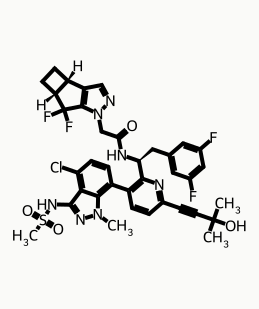 Cn1nc(NS(C)(=O)=O)c2c(Cl)ccc(-c3ccc(C#CC(C)(C)O)nc3[C@H](Cc3cc(F)cc(F)c3)NC(=O)Cn3ncc4c3C(F)(F)[C@@H]3CC[C@H]43)c21